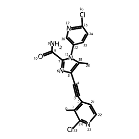 Cc1c(C#Cc2nc(C(N)=O)n(-c3ccc(Cl)nc3)c2C)ccnc1Cl